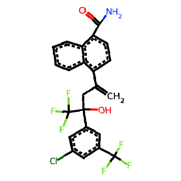 C=C(CC(O)(c1cc(Cl)cc(C(F)(F)F)c1)C(F)(F)F)c1ccc(C(N)=O)c2ccccc12